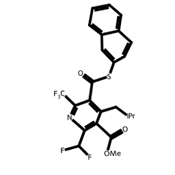 COC(=O)c1c(C(F)F)nc(C(F)(F)F)c(C(=O)Sc2ccc3ccccc3c2)c1CC(C)C